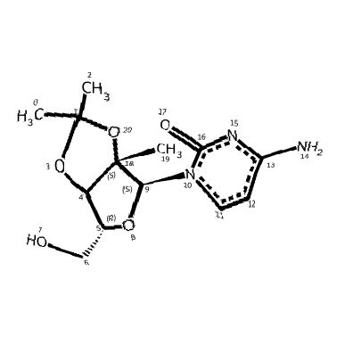 CC1(C)OC2[C@@H](CO)O[C@H](n3ccc(N)nc3=O)[C@@]2(C)O1